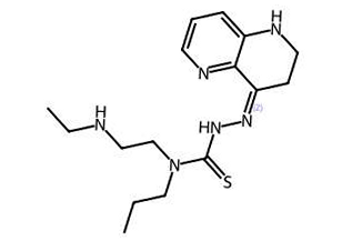 CCCN(CCNCC)C(=S)N/N=C1/CCNc2cccnc21